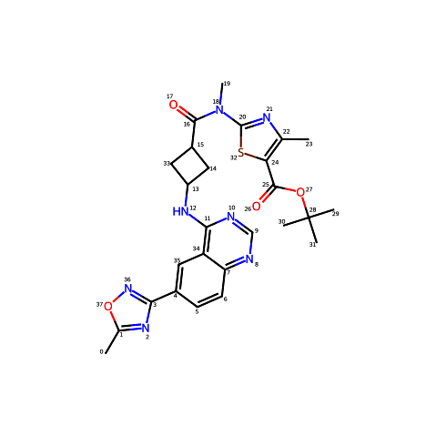 Cc1nc(-c2ccc3ncnc(NC4CC(C(=O)N(C)c5nc(C)c(C(=O)OC(C)(C)C)s5)C4)c3c2)no1